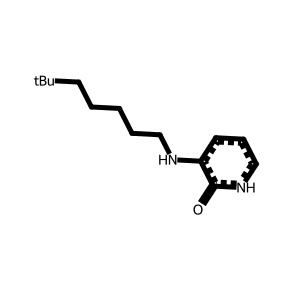 CC(C)(C)CCCCCNc1ccc[nH]c1=O